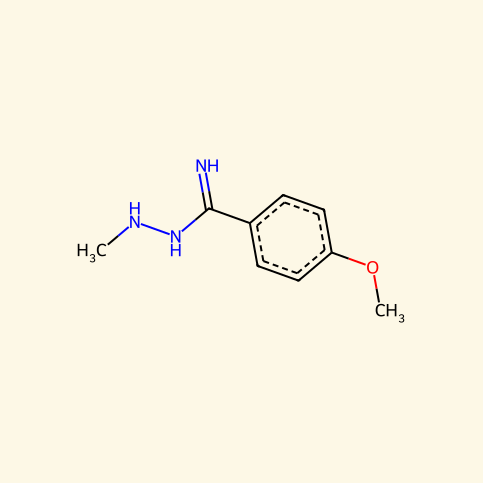 CNNC(=N)c1ccc(OC)cc1